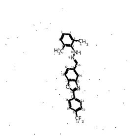 Cc1cccc(C)c1N/N=C/c1ccc2oc(-c3ccc(C(F)(F)F)cc3)nc2c1